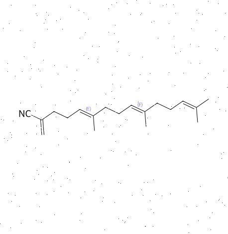 C=C(C#N)CC/C=C(\C)CC/C=C(\C)CCC=C(C)C